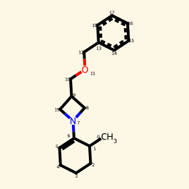 CC1CCCC=C1N1CC(COCc2ccccc2)C1